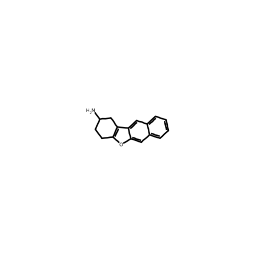 NC1CCc2oc3cc4ccccc4cc3c2C1